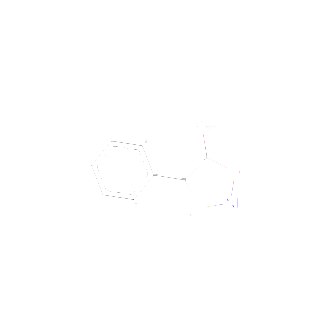 OC1=C(c2ccccc2)SNO1